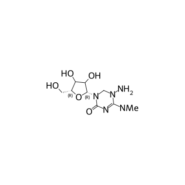 CNC1=NC(=O)N([C@@H]2O[C@H](CO)C(O)C2O)CN1N